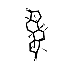 C[C@@H]1C(=O)CC[C@@]2(C=O)C1=C[C@@H](C)[C@@H]1[C@@H]2CC[C@]2(C)C(=O)CC[C@@H]12